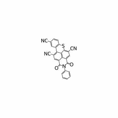 N#Cc1ccc2sc3c(C#N)cc4c(=O)n(-c5ccccc5)c(=O)c5cc(C#N)c(c2c1)c3c45